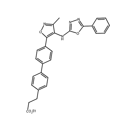 CCOC(=O)CCc1ccc(-c2ccc(-c3onc(C)c3Nc3nnc(-c4ccccc4)o3)cc2)cc1